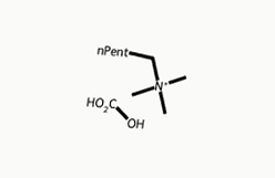 CCCCCC[N+](C)(C)C.O=C(O)O